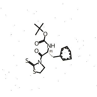 CC(C)(C)OC(=O)N[C@H](Cc1ccccc1)C(=O)N1CCSC1=S